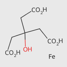 O=C(O)CC(O)(CC(=O)O)CC(=O)O.[Fe]